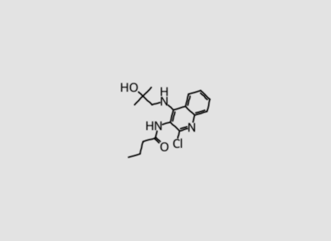 CCCC(=O)Nc1c(Cl)nc2ccccc2c1NCC(C)(C)O